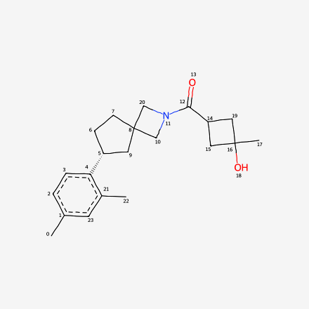 Cc1ccc([C@@H]2CCC3(C2)CN(C(=O)C2CC(C)(O)C2)C3)c(C)c1